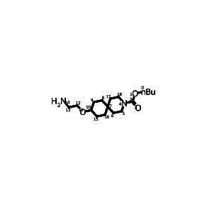 CCCCOC(=O)N1CCC2(CCC(OCCN)CC2)CC1